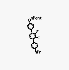 CCCCCOc1ccc(-c2ccc(-c3ccc(CCC)cc3)c(F)c2F)cc1